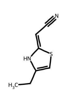 CCC1=CSC(=CC#N)N1